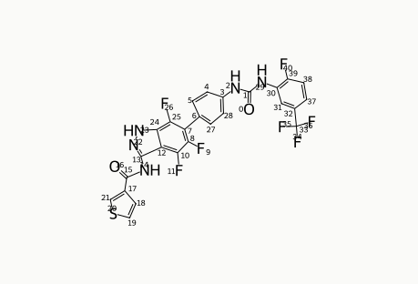 O=C(Nc1ccc(-c2c(F)c(F)c3c(NC(=O)c4ccsc4)n[nH]c3c2F)cc1)Nc1cc(C(F)(F)F)ccc1F